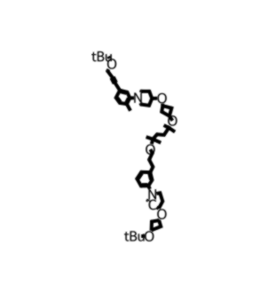 Cc1ccc(C#CCOC(C)(C)C)cc1N1CCC(OC2CC(OC(C)(C)CCC(C)(C)OCCCc3cccc(N4CCC(OC5CC(OC(C)(C)C)C5)CC4)c3)C2)CC1